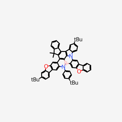 CC(C)(C)c1ccc(N2B3c4cc5oc6ccccc6c5cc4-n4c5ccc(C(C)(C)C)cc5c5c6c(c(c3c54)-c3cc4oc5cc(C(C)(C)C)ccc5c4cc32)C(C)(C)c2ccccc2-6)cc1